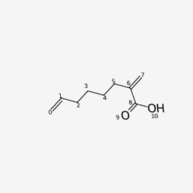 C=CCCCCC(=C)C(=O)O